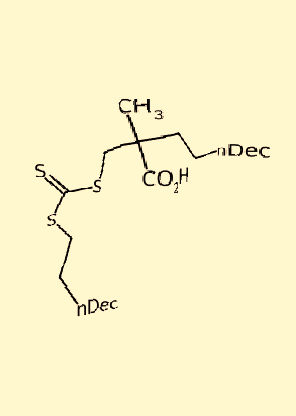 CCCCCCCCCCCCSC(=S)SCC(C)(CCCCCCCCCCCC)C(=O)O